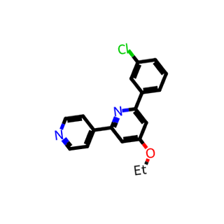 CCOc1cc(-c2ccncc2)nc(-c2cccc(Cl)c2)c1